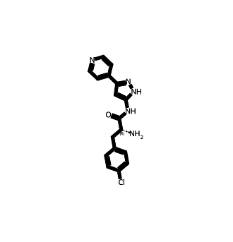 N[C@H](Cc1ccc(Cl)cc1)C(=O)Nc1cc(-c2ccncc2)n[nH]1